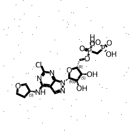 O=P(O)(O)CP(=O)(O)OC[C@H]1O[C@@H](n2ncc3c(N[C@H]4CCOC4)nc(Cl)nc32)[C@H](O)[C@@H]1O